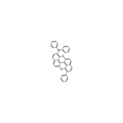 c1ccc(-c2ccc3ccc4sc5c(N(c6ccccc6)c6ccccc6)ccc6ccc7sc2c3c4-c7c65)cc1